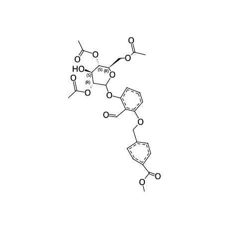 COC(=O)c1ccc(COc2cccc(OC3O[C@H](COC(C)=O)[C@@H](OC(C)=O)[C@H](O)[C@H]3OC(C)=O)c2C=O)cc1